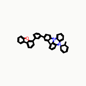 CC1C=CC=CC1N1c2ccccc2-n2c3ccc(-c4cccc(-c5cccc6c5oc5ccccc56)c4)cc3c3cccc1c32